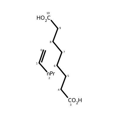 C=CCCC.O=C(O)CCCCCCC(=O)O